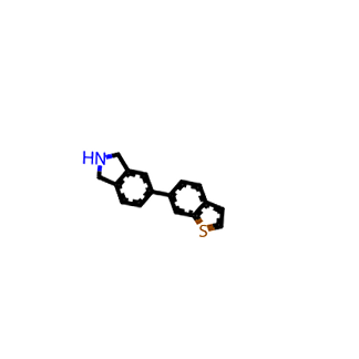 c1cc2ccc(-c3ccc4c(c3)CNC4)cc2s1